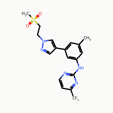 Cc1cc(Nc2nccc(C(F)(F)F)n2)cc(-c2cnn(CCS(C)(=O)=O)c2)c1